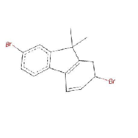 CC1(C)C2=C(C=CC(Br)C2)c2ccc(Br)cc21